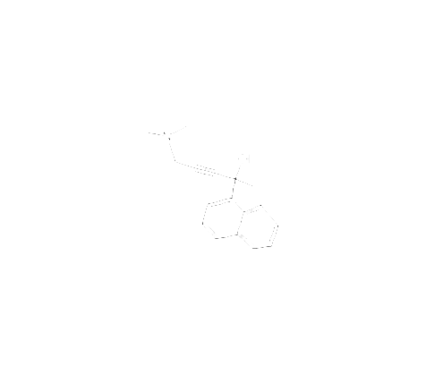 CN(C)CC#CC(C)(O)c1cccc2ccccc12